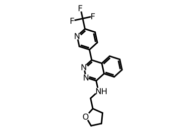 FC(F)(F)c1ccc(-c2nnc(NCC3CCCO3)c3ccccc23)cn1